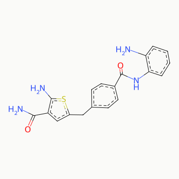 NC(=O)c1cc(Cc2ccc(C(=O)Nc3ccccc3N)cc2)sc1N